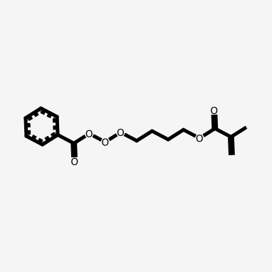 C=C(C)C(=O)OCCCCOOOC(=O)c1ccccc1